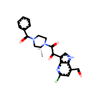 C[C@@H]1CN(C(=O)c2ccccc2)CCN1C(=O)C(=O)c1c[nH]c2c(C=O)cc(Cl)nc12